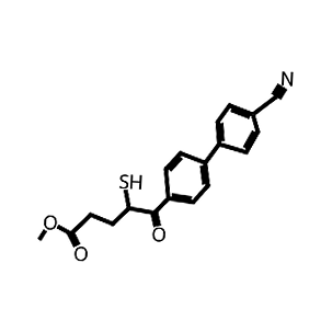 COC(=O)CCC(S)C(=O)c1ccc(-c2ccc(C#N)cc2)cc1